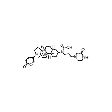 C[C@]12CC[C@H](N(CCCN3CCNC(=O)C3)C(=O)O)C[C@H]1CC[C@@H]1[C@@H]2CC[C@]2(C)[C@@H](c3ccc(=O)oc3)CC[C@]12O